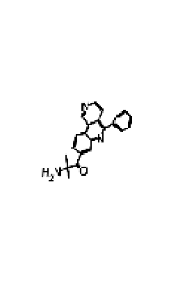 CC(C)(N)C(=O)c1ccc2c(c1)nc(-c1ccccc1)c1ccncc12